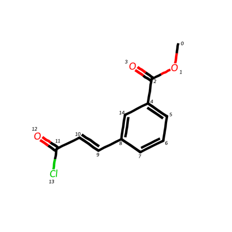 COC(=O)c1cccc(/C=C/C(=O)Cl)c1